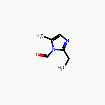 CCc1ncc(C)n1C=O